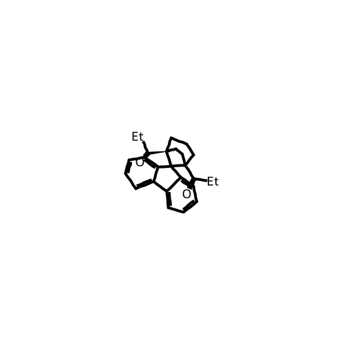 CCC(=O)C12CCC[C@](C(=O)CC)(CC1)C21c2ccccc2-c2ccccc21